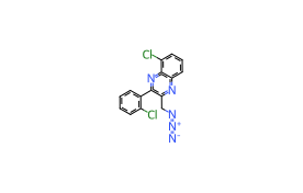 [N-]=[N+]=NCc1nc2cccc(Cl)c2nc1-c1ccccc1Cl